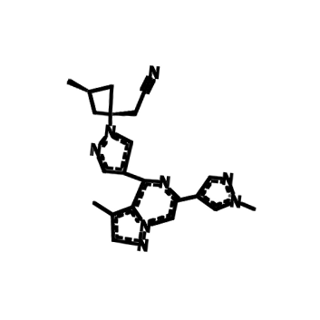 Cc1cnn2cc(-c3cnn(C)c3)nc(-c3cnn([C@]4(CC#N)C[C@@H](C)C4)c3)c12